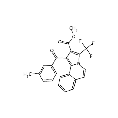 COC(=O)c1c(C(=O)c2cccc(C)c2)c2c3ccccc3ccn2c1C(F)(F)F